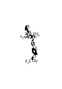 Cn1c(=O)n(CCN2CCN(c3ccc(OCC(O)C(F)(F)F)cc3F)CC2)c2nc(N)n3nc(-c4ccco4)nc3c21